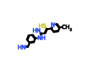 Cc1ccc(/C(S)=C/C(=N)Nc2cccc(C=N)c2)nc1